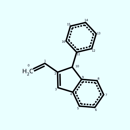 C=CC1=Cc2ccccc2C1c1ccccc1